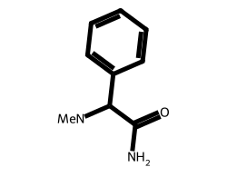 CNC(C(N)=O)c1ccccc1